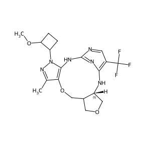 COC1CCC1n1nc(C)c2c1Nc1ncc(C(F)(F)F)c(n1)N[C@@H]1COCC1CO2